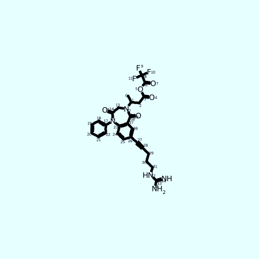 CC(CC(=O)OC(=O)C(F)(F)F)N1CC(=O)N(c2ccccc2)c2ccc(C#CCCCNC(=N)N)cc2C1=O